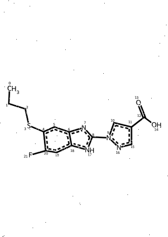 CCCSc1cc2nc(-n3cc(C(=O)O)cn3)[nH]c2cc1F